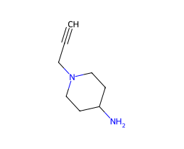 C#CCN1CCC(N)CC1